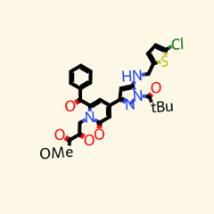 COC(=O)C(=O)Cn1c(C(=O)c2ccccc2)cc(-c2cc(NCc3ccc(Cl)s3)n(C(=O)C(C)(C)C)n2)cc1=O